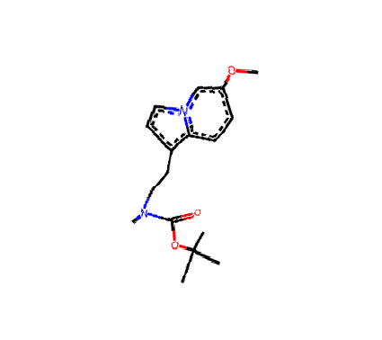 COc1ccc2c(CCN(C)C(=O)OC(C)(C)C)ccn2c1